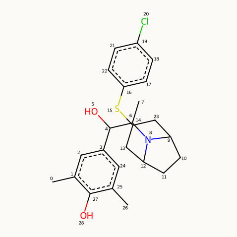 Cc1cc(C(O)C(C)N2C3CCC2CC(Sc2ccc(Cl)cc2)C3)cc(C)c1O